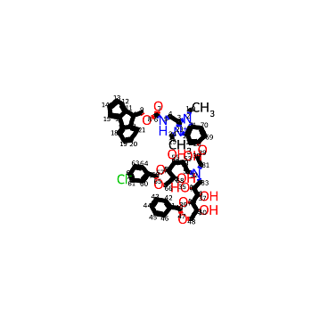 CCn1c(CNC(=O)OCC2c3ccccc3-c3ccccc32)[n+](CC)c2cc(OCCN(C[C@H](O)[C@@H](O)[C@@H]3OC(c4ccccc4)OC[C@H]3O)C[C@H](O)[C@@H](O)[C@@H]3OC(c4ccccc4)OC[C@H]3O)ccc21.[Cl-]